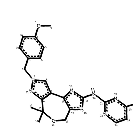 COc1ccc(Cn2cc3c(n2)C(C)(C)OCc2sc(Nc4nccc(C)n4)nc2-3)cc1